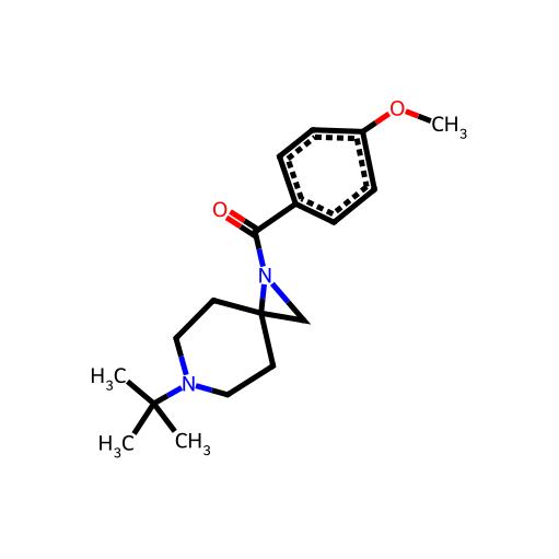 COc1ccc(C(=O)N2CC23CCN(C(C)(C)C)CC3)cc1